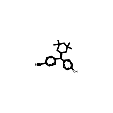 CC1(C)CC(=C(c2ccc(O)cc2)c2ccc(C#N)cc2)CC(C)(C)C1